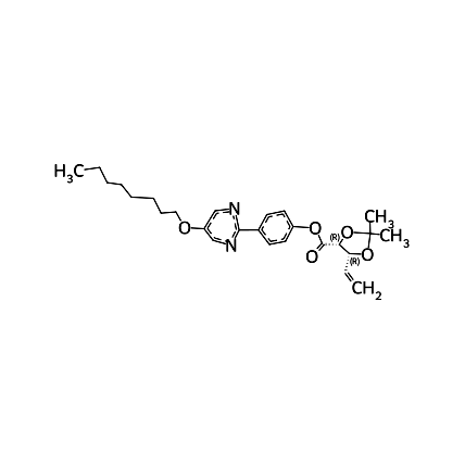 C=C[C@H]1OC(C)(C)O[C@H]1C(=O)Oc1ccc(-c2ncc(OCCCCCCCC)cn2)cc1